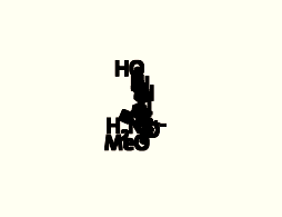 COCC[S@@+]([O-])c1sc2nc(-c3cnc4nn(CCO)cc4c3)cc(C3CCC3)c2c1N